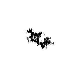 N=C(N)NCCC[C@H](NC(=O)CNC(=O)[C@H](CC(N)=O)NC(=O)[C@H](CCCNC(=N)N)NC(=O)[C@@H](N)CS)C(=O)NCC(=O)N1CCC[C@H]1C(=O)N[C@@H](CC(=O)O)C(=O)N[C@@H](CS)C(=O)O